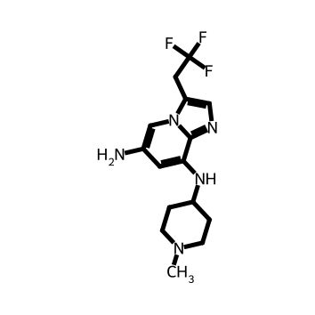 CN1CCC(Nc2cc(N)cn3c(CC(F)(F)F)cnc23)CC1